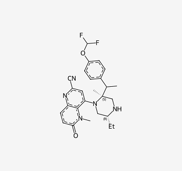 CC[C@@H]1CN(c2cc(C#N)nc3ccc(=O)n(C)c23)[C@@](C)(C(C)c2ccc(OC(F)F)cc2)CN1